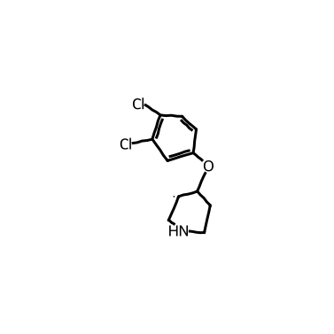 Clc1ccc(OC2[CH]CNCC2)cc1Cl